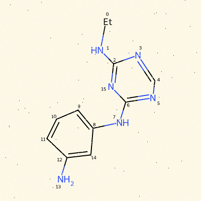 CCNc1ncnc(Nc2cccc(N)c2)n1